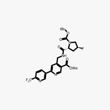 COC(=O)c1cnc(-c2ccc(C(F)(F)F)nc2)cc1CNC(=O)[C@H]1C[C@H](F)CN1C(=O)OC(C)(C)C